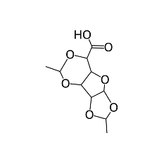 CC1OC2OC3C(C(=O)O)OC(C)OC3C2O1